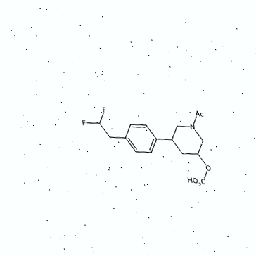 CC(=O)N1CC(OC(=O)O)CC(c2ccc(CC(F)F)cc2)C1